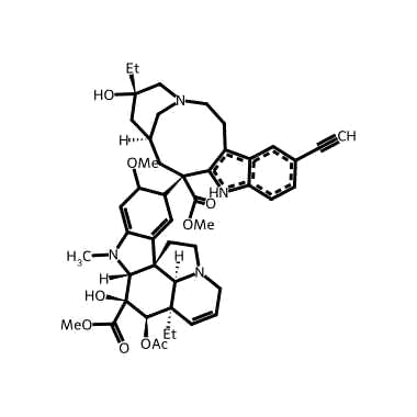 C#Cc1ccc2[nH]c3c(c2c1)CCN1C[C@H](C[C@@](O)(CC)C1)C[C@]3(C(=O)OC)C1C=C2C(=CC1OC)N(C)[C@H]1[C@@](O)(C(=O)OC)[C@H](OC(C)=O)[C@]3(CC)C=CCN4CC[C@]21[C@@H]43